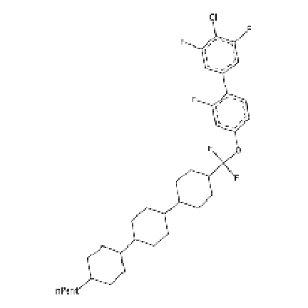 CCCCCC1CCC(C2CCC(C3CCC(C(F)(F)Oc4ccc(-c5cc(F)c(Cl)c(F)c5)c(F)c4)CC3)CC2)CC1